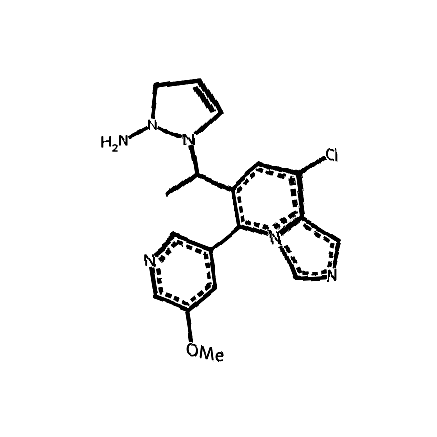 COc1cncc(-c2c(C(C)N3C=CCN3N)cc(Cl)c3cncn23)c1